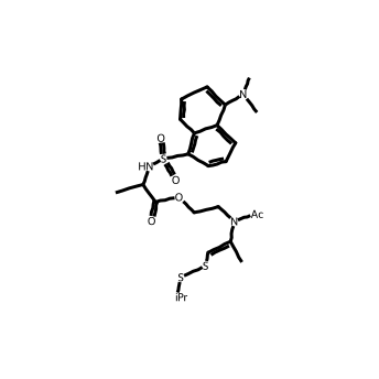 CC(=O)N(CCOC(=O)C(C)NS(=O)(=O)c1cccc2c(N(C)C)cccc12)C(C)=CSSC(C)C